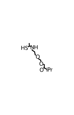 CC(S)NCCCOCCOCC(=O)C(C)C